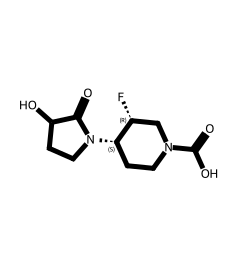 O=C(O)N1CC[C@H](N2CCC(O)C2=O)[C@H](F)C1